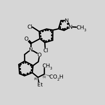 CC[C@@H](c1cccc2c1CON(C(=O)c1c(Cl)cc(-c3cnn(C)c3)cc1Cl)C2)[C@H](C)C(=O)O